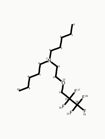 CCCCCN(CCCCC)CCOCC(F)(F)C(F)(F)F